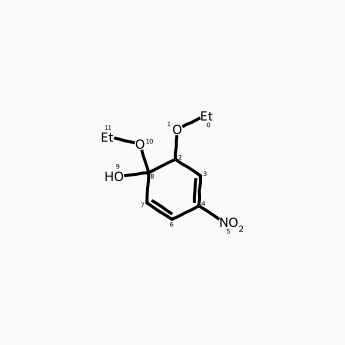 CCOC1C=C([N+](=O)[O-])C=CC1(O)OCC